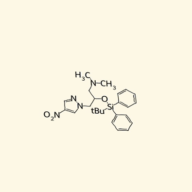 CN(C)CC(Cn1cc([N+](=O)[O-])cn1)O[Si](c1ccccc1)(c1ccccc1)C(C)(C)C